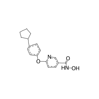 O=C(NO)c1ccc(Oc2ccc(C3CCCC3)cc2)nc1